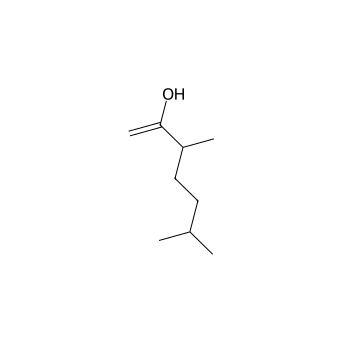 C=C(O)C(C)CCC(C)C